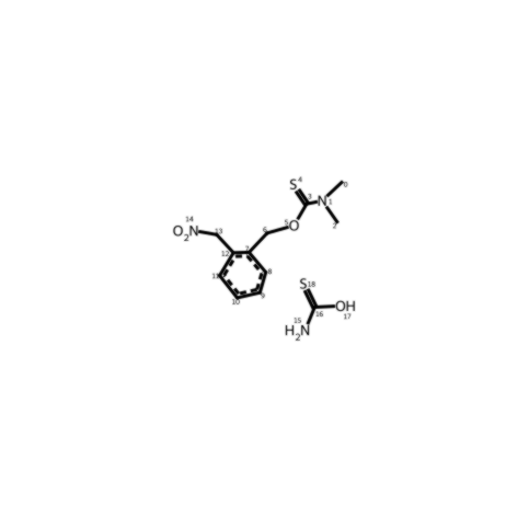 CN(C)C(=S)OCc1ccccc1C[N+](=O)[O-].NC(O)=S